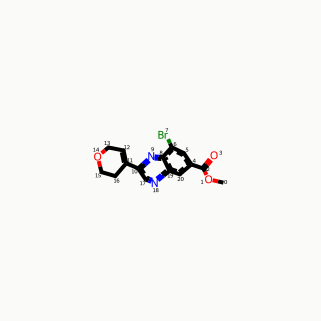 COC(=O)c1cc(Br)c2nc(C3=CCOCC3)cnc2c1